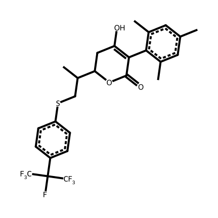 Cc1cc(C)c(C2=C(O)CC(C(C)CSc3ccc(C(F)(C(F)(F)F)C(F)(F)F)cc3)OC2=O)c(C)c1